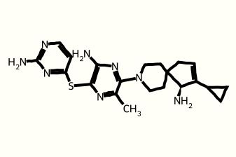 Cc1nc(Sc2ccnc(N)n2)c(N)nc1N1CCC2(CC=C(C3CC3)[C@H]2N)CC1